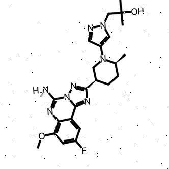 COc1cc(F)cc2c1nc(N)n1nc([C@@H]3CC[C@H](C)N(c4cnn(CC(C)(C)O)c4)C3)nc21